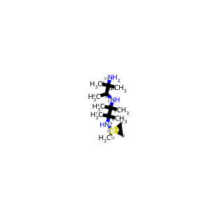 CC(NC(C)(C)C(C)(C)NS1(C)CC1)C(C)(C)N